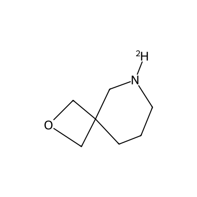 [2H]N1CCCC2(COC2)C1